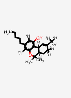 [2H]c1c(O)c2c(c([2H])c1CCCCC)OC(C)(C)[C@@H]1CC([2H])([2H])C(C([2H])([2H])[2H])=C[C@@H]21